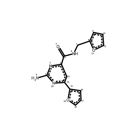 Nc1nc(C(=O)NCc2ccco2)cc(-c2ccco2)n1